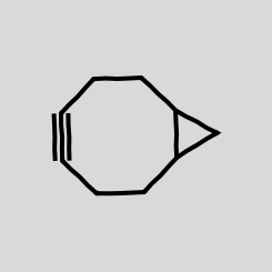 C1#CCCC2CC2CC1